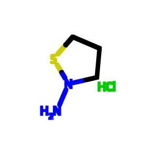 Cl.NN1CCCS1